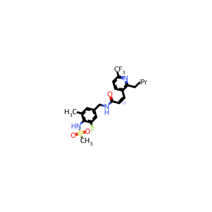 Cc1cc(CNC(=O)/C=C\c2ccc(C(F)(F)F)nc2CC(C)C)cc(F)c1NS(C)(=O)=O